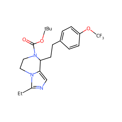 CCc1ncc2n1CCN(C(=O)OC(C)(C)C)C2CCc1ccc(OC(F)(F)F)cc1